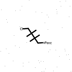 CCCCCCC(C)(C)C(C)(C)CCl